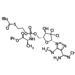 C=Nc1c(/C(N)=N\C)ncn1[C@@H]1O[C@H](COP(=O)(N[C@@H](C)C(=O)OC(C)C)OCCSC(=O)C(C)(C)C)[C@@H](O)C1(Cl)Cl